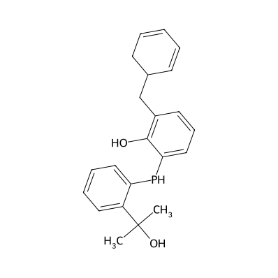 CC(C)(O)c1ccccc1Pc1cccc(CC2C=CC=CC2)c1O